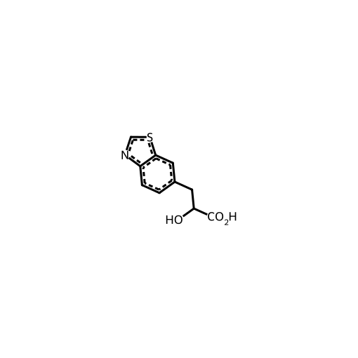 O=C(O)C(O)Cc1ccc2ncsc2c1